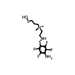 C[N+](C)(CCCSO)CCNSc1c(F)c(F)c(N)c(F)c1F